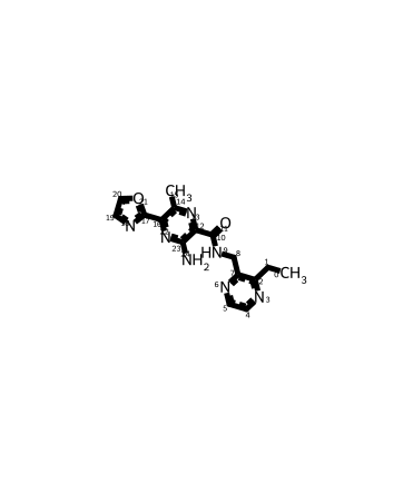 CCc1nccnc1CNC(=O)c1nc(C)c(-c2ncco2)nc1N